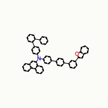 c1ccc(-c2ccccc2-c2ccc(N(c3ccc(-c4ccc(-c5cccc(-c6cc7ccccc7o6)c5)cc4)cc3)c3cc4ccccc4c4ccccc34)cc2)cc1